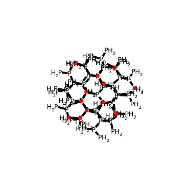 PPP(P)P(P(P)P)P(P(P(P(P)P)P(P)P)P(P(P)P)P(P)P)P(P(P(P(P(P)P)P(P)P)P(P(P)P)P(P)P)P(P(P(P)P)P(P)P)P(P(P)P)P(P)P)P(P(P(P(P)P)P(P)P)P(P(P)P)P(P)P)P(P(P(P)P)P(P)P)P(P(P)P)P(P)P